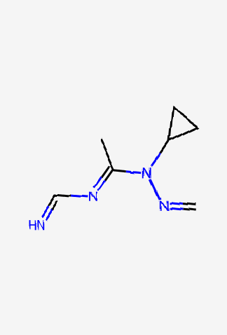 C=NN(/C(C)=N/C=N)C1CC1